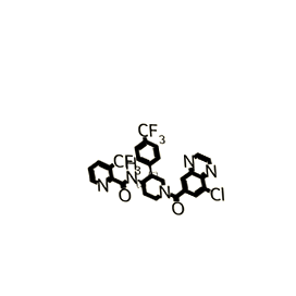 O=C(N[C@H]1CCN(C(=O)c2cc(Cl)c3nccnc3c2)C[C@@H]1c1ccc(C(F)(F)F)cc1)c1ncccc1C(F)(F)F